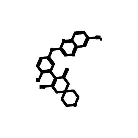 CCc1ccc(Oc2cnc3cc(C)ccc3n2)cc1C1=C(O)CC2(CCOCC2)CC1=O